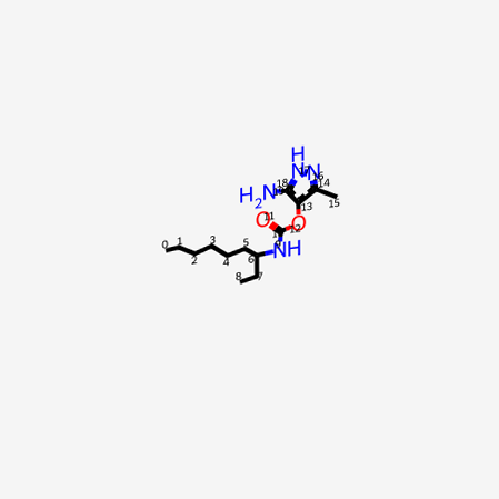 CCCCCCC(CC)NC(=O)Oc1c(C)n[nH]c1N